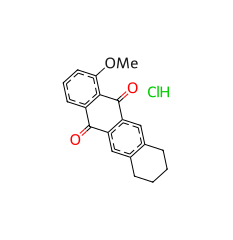 COc1cccc2c1C(=O)c1cc3c(cc1C2=O)CCCC3.Cl